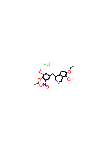 CCOc1ccc2c(Cc3cc(OC)c(OCC)c([N+](=O)[O-])c3)cncc2c1O.Cl